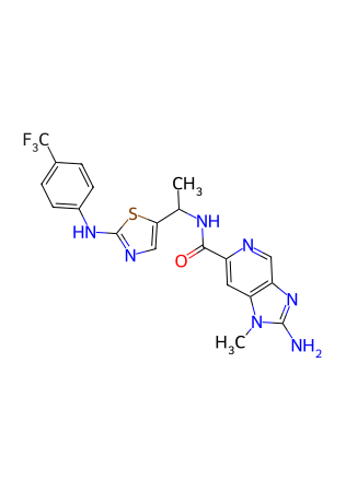 CC(NC(=O)c1cc2c(cn1)nc(N)n2C)c1cnc(Nc2ccc(C(F)(F)F)cc2)s1